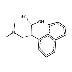 CC(C)[C@H](O)[C@@H](CN(C)C)c1cccc2ccccc12